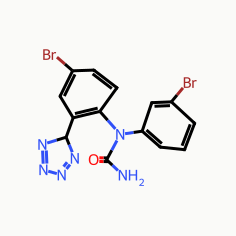 NC(=O)N(c1cccc(Br)c1)c1ccc(Br)cc1C1N=NN=N1